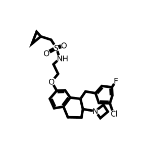 O=S(=O)(CC1CC1)NCCOc1ccc2c(c1)C(Cc1cc(F)cc(Cl)c1)C(N1CCC1)CC2